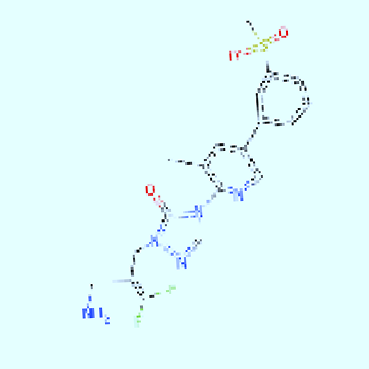 Cc1cc(-c2cccc(S(C)(=O)=O)c2)cnc1-n1cnn(CC(CN)=C(F)F)c1=O